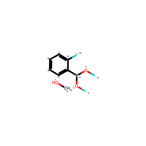 CO.FOB(OF)c1ccccc1F